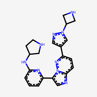 c1cc(NC2CCNC2)nc(-c2cnc3ccc(-c4cnn(C5CNC5)c4)nn23)c1